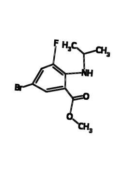 COC(=O)c1cc(Br)cc(F)c1NC(C)C